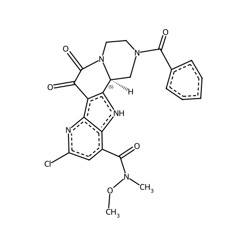 CON(C)C(=O)c1cc(Cl)nc2c3c([nH]c12)[C@@H]1CN(C(=O)c2ccccc2)CCN1C(=O)C3=O